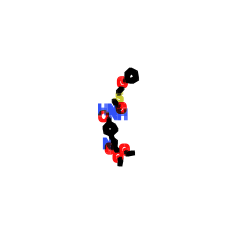 CCOC(OCC)c1cc(-c2ccc(C(=O)NNC(=O)CSCCOc3ccccc3)cc2)no1